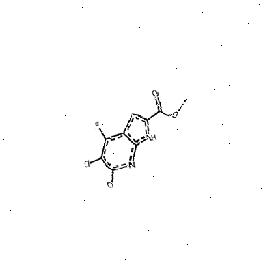 COC(=O)c1cc2c(F)c(Cl)c(Cl)nc2[nH]1